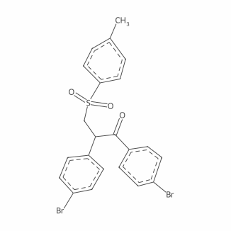 Cc1ccc(S(=O)(=O)CC(C(=O)c2ccc(Br)cc2)c2ccc(Br)cc2)cc1